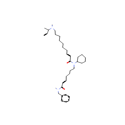 C=CC(C)N(C)CCCCCCC/C=C/C(=O)N(CCCC/C=C/C(=O)N(CCCCCCC)Cc1ccccc1)C1CCCCC1